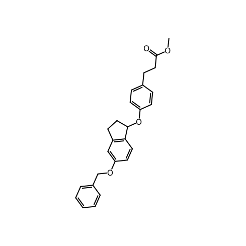 COC(=O)CCc1ccc(OC2CCc3cc(OCc4ccccc4)ccc32)cc1